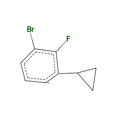 Fc1c(C2CC2)[c]ccc1Br